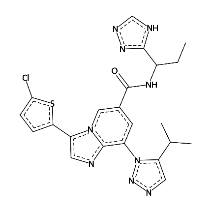 CCC(NC(=O)c1cc(-n2nncc2C(C)C)c2ncc(-c3ccc(Cl)s3)n2c1)c1nnc[nH]1